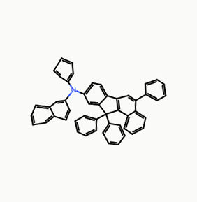 c1ccc(-c2cc3c(c4ccccc24)C(c2ccccc2)(c2ccccc2)c2cc(N(c4ccccc4)c4ccc5ccccc5c4)ccc2-3)cc1